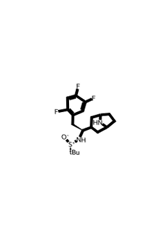 CC(C)(C)[S@+]([O-])N[C@@H](Cc1cc(F)c(F)cc1F)C1CC2CCC(C1)N2